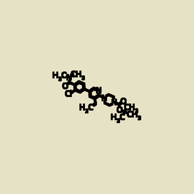 C=Cc1cc(-c2ccc(C(=O)N(C)C)c(Cl)c2)cnc1N1CCN(C(=O)OC(C)(C)C)CC1